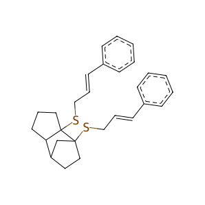 C(=Cc1ccccc1)CSC12CCC(C1)C1CCCC12SCC=Cc1ccccc1